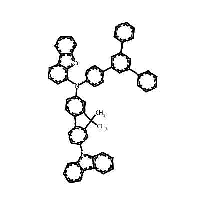 CC1(C)c2cc(N(c3ccc(-c4cc(-c5ccccc5)cc(-c5ccccc5)c4)cc3)c3cccc4c3oc3ccccc34)ccc2-c2ccc(-n3c4ccccc4c4ccccc43)cc21